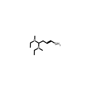 CCN(C)C(CC=C[SiH3])N(C)CC